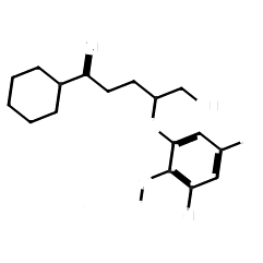 CCC(CCC(=N)C1CCCCC1)Oc1cc(Cl)cc(Cl)c1OC.Cl